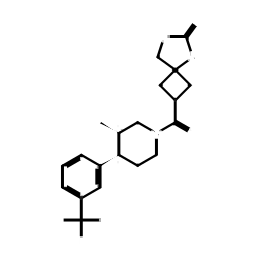 C[C@H]1CN(C(=O)C2CC3(COC(=O)N3)C2)CC[C@H]1c1cccc(C(F)(F)F)c1